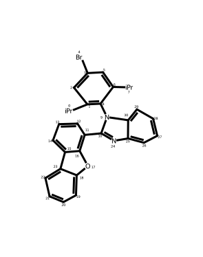 CC(C)c1cc(Br)cc(C(C)C)c1-n1c(-c2cccc3c2oc2ccccc23)nc2ccccc21